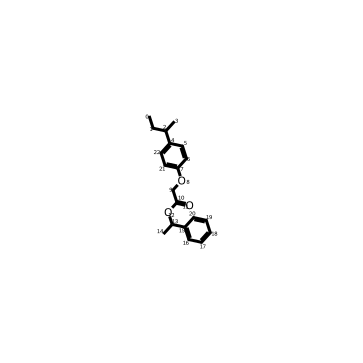 CCC(C)c1ccc(OCC(=O)OC(C)c2ccccc2)cc1